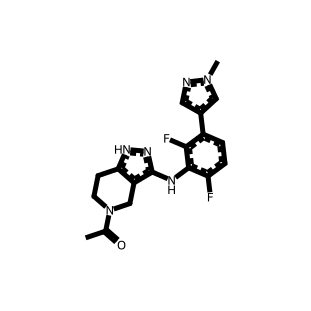 CC(=O)N1CCc2[nH]nc(Nc3c(F)ccc(-c4cnn(C)c4)c3F)c2C1